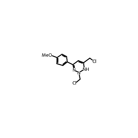 COc1ccc(C2=NN(CCl)NC(CCl)=C2)cc1